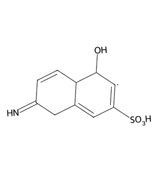 N=C1C=CC2C(=CC(S(=O)(=O)O)=[C]C2O)C1